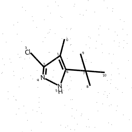 Cc1c(Cl)n[nH]c1C(C)(C)C